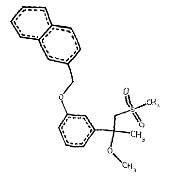 COC(C)(CS(C)(=O)=O)c1cccc(OCc2ccc3ccccc3c2)c1